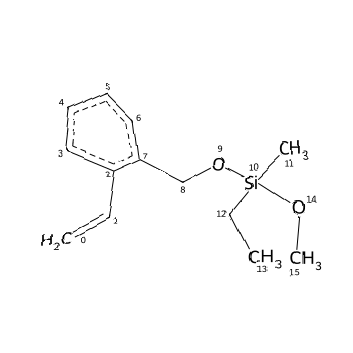 C=Cc1ccccc1CO[Si](C)(CC)OC